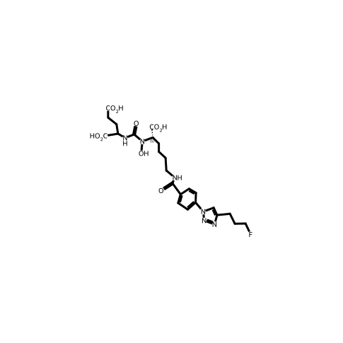 O=C(O)CCC(NC(=O)N(O)[C@@H](CCCCNC(=O)c1ccc(-n2cc(CCCF)nn2)cc1)C(=O)O)C(=O)O